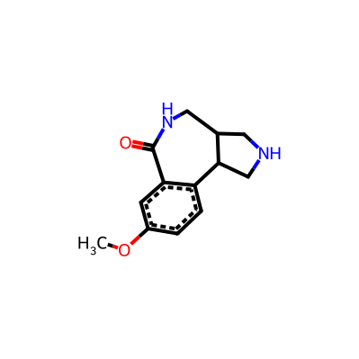 COc1ccc2c(c1)C(=O)NCC1CNCC21